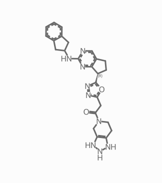 O=C(Cc1nnc([C@@H]2CCc3cnc(NC4Cc5ccccc5C4)nc32)o1)N1CCC2=C(C1)NNN2